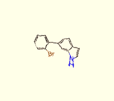 Brc1ccccc1-c1ccc2cc[nH]c2c1